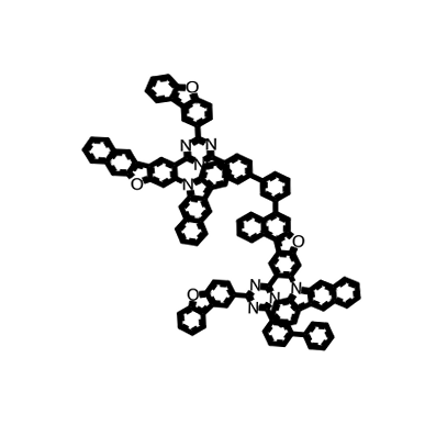 c1ccc(-c2cccc(-c3nc(-c4ccc5oc6ccccc6c5c4)nc(-c4cc5c(cc4-n4c6ccccc6c6cc7ccccc7cc64)oc4cc(-c6cccc(-c7ccc(-c8nc(-c9ccc%10oc%11ccccc%11c%10c9)nc(-c9cc%10c(cc9-n9c%11ccccc%11c%11cc%12ccccc%12cc%119)oc9cc%11ccccc%11cc9%10)n8)cc7)c6)c6ccccc6c45)n3)c2)cc1